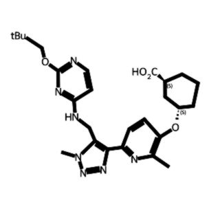 Cc1nc(-c2nnn(C)c2CNc2ccnc(OCC(C)(C)C)n2)ccc1O[C@H]1CCC[C@H](C(=O)O)C1